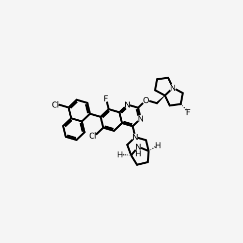 Fc1c(-c2ccc(Cl)c3ccccc23)c(Cl)cc2c(N3C[C@H]4CC[C@@H](C3)N4)nc(OC[C@@]34CCCN3C[C@H](F)C4)nc12